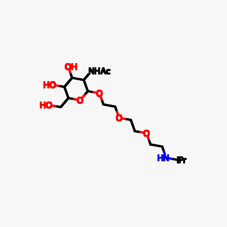 CC(=O)NC1C(OCCOCCOCCNC(C)C)OC(CO)C(O)C1O